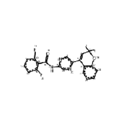 CC1(C)C=C(c2cnc(NC(=O)c3c(F)cccc3F)cn2)c2ccccc2O1